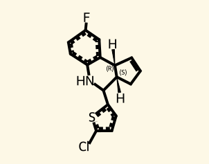 Fc1ccc2c(c1)[C@@H]1C=CC[C@@H]1C(c1ccc(Cl)s1)N2